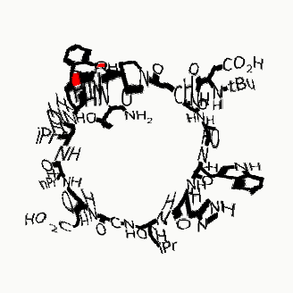 CCC[C@@H]1NC(=O)[C@H](CCC(=O)O)NC(=O)CNC(=O)[C@H](CC(C)C)NC(=O)[C@H](Cc2c[nH]cn2)NC(=O)[C@H](Cc2c[nH]c3ccccc23)NC(=O)[C@H](C)NC(=O)[C@@H](NC(=O)C(CC(=O)O)NC(C)(C)C)CCC(=O)N2CCC(C(=O)N[C@H](C(N)=O)C(C)O)(CC2)NC(=O)[C@H](Cc2c[nH]c3ccccc23)NC(=O)[C@H](C(C)C)NC1=O